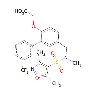 Cc1noc(C)c1S(=O)(=O)N(C)Cc1ccc(OCC(=O)O)c(-c2cccc(C(F)(F)F)c2)c1